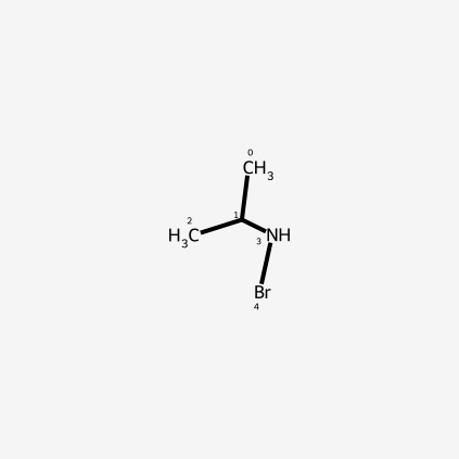 CC(C)NBr